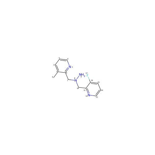 Cc1cccnc1CN(N)Cc1ncccc1F